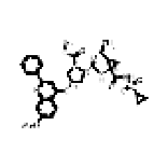 C=CC1C[C@]1(NC(=O)[C@@H]1C[C@@H](Oc2cc(-c3ccccc3)nc3cc(OC)ccc23)CN1C(=O)OC(C)(C)C)C(=O)NS(=O)(=O)C1CC1